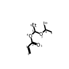 C=CC(=O)OC(CC)OC(C)I